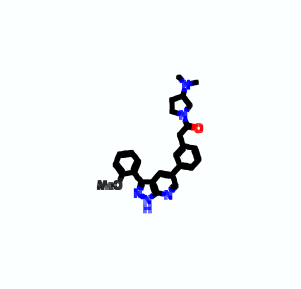 COc1ccccc1-c1n[nH]c2ncc(-c3cccc(CC(=O)N4CCC(N(C)C)C4)c3)cc12